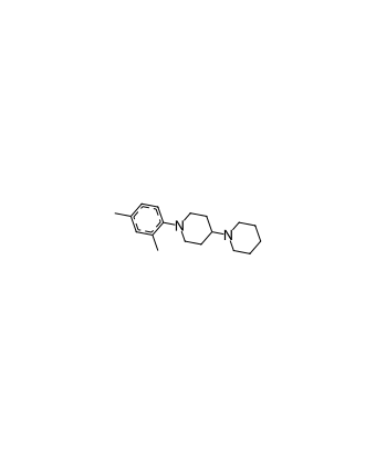 Cc1ccc(N2CCC(N3CCCCC3)CC2)c(C)c1